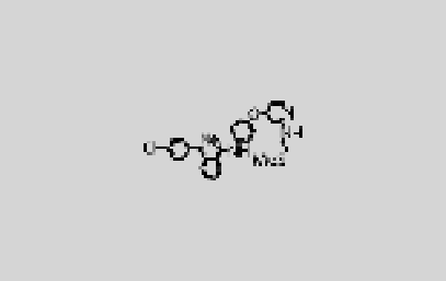 CSCCNc1cc(Oc2ccc(Nc3nnc(-c4ccc(Cl)cc4)c4ccccc34)cc2)ccn1